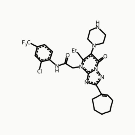 CCc1c(N2CCNCC2)c(=O)n2nc(C3=CCCCCC3)nc2n1CC(=O)Nc1ccc(C(F)(F)F)cc1Cl